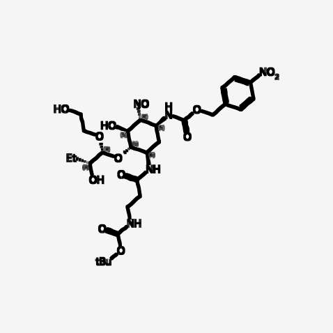 CC[C@@H](O)[C@H](OCCO)O[C@@H]1[C@@H](O)[C@H](N=O)[C@@H](NC(=O)OCc2ccc([N+](=O)[O-])cc2)C[C@H]1NC(=O)CCNC(=O)OC(C)(C)C